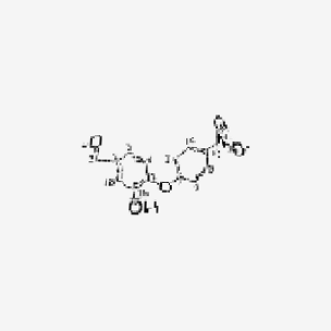 O=Cc1ccc(Oc2ccc([N+](=O)[O-])cc2)c(O)c1